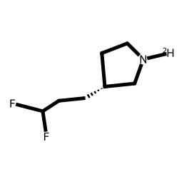 [2H]N1CC[C@@H](CCC(F)F)C1